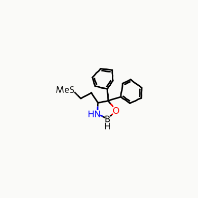 CSCCC1NBOC1(c1ccccc1)c1ccccc1